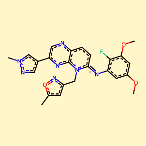 COc1cc(/N=c2\ccc3ncc(-c4cnn(C)c4)nc3n2Cc2cc(C)on2)c(F)c(OC)c1